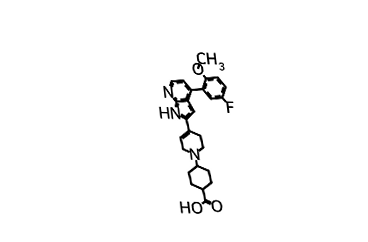 COc1ccc(F)cc1-c1ccnc2[nH]c(C3=CCN(C4CCC(C(=O)O)CC4)CC3)cc12